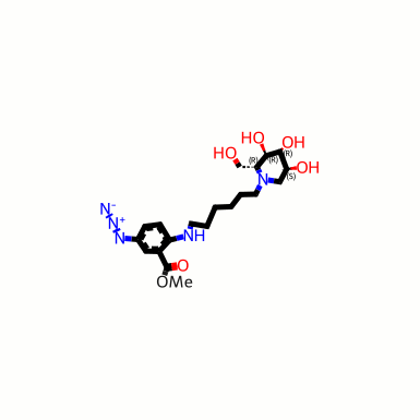 COC(=O)c1cc(N=[N+]=[N-])ccc1NCCCCCCN1C[C@H](O)[C@@H](O)[C@H](O)[C@H]1CO